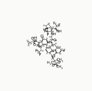 CC(C)(C#Cc1ccc(-c2ccc(Cl)c3c(NS(=O)(=O)C4CC4)nn(CC(F)F)c23)c([C@H](Cc2cc(F)cc(F)c2)NC(=O)CNC2=C(C(=N)C(F)F)C3CC[C@H]3C2(F)F)n1)S(C)(=O)=O